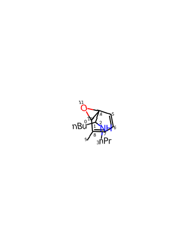 CCCCC(NCCC)C12C=CC=C(C)C1O2